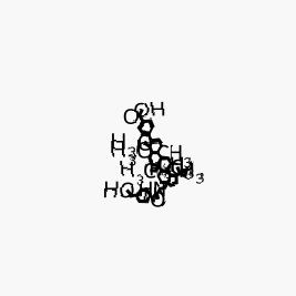 CCC12CCC3C(C)(C)C(c4ccc(C(=O)O)cc4)=CCC3(C)C1CCC1(C)C3C(C4(C)CC4)CCC3(CNC(=O)N3CCC(CO)CC3)CC[C@]12C